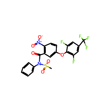 CS(=O)(=O)N(C(=O)c1cc(Oc2c(F)cc(C(F)(F)F)cc2F)ccc1[N+](=O)[O-])c1ccccc1